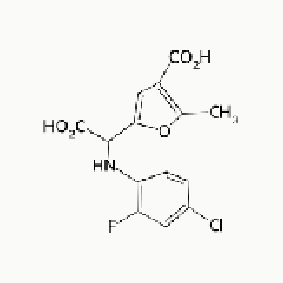 Cc1oc(C(Nc2ccc(Cl)cc2F)C(=O)O)cc1C(=O)O